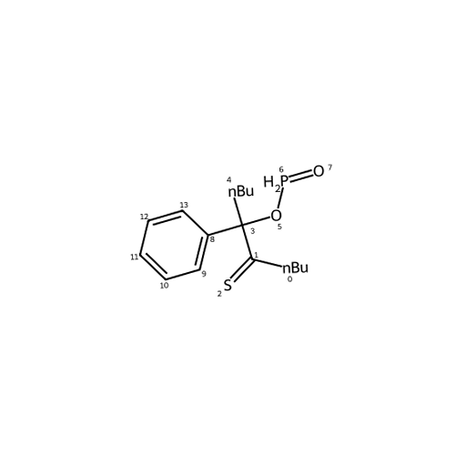 CCCCC(=S)C(CCCC)(O[PH2]=O)c1ccccc1